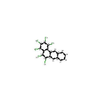 Fc1c(F)c(F)c2c(c1F)c(F)c(F)c1cc3ccccc3cc12